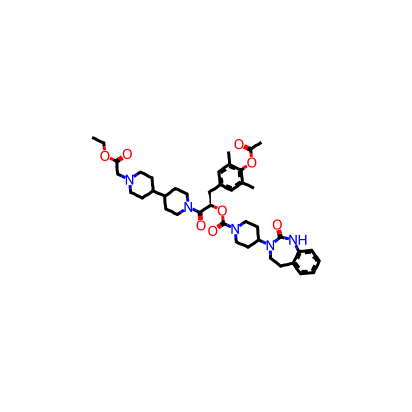 CCOC(=O)CN1CCC(C2CCN(C(=O)[C@@H](Cc3cc(C)c(OC(C)=O)c(C)c3)OC(=O)N3CCC(N4CCc5ccccc5NC4=O)CC3)CC2)CC1